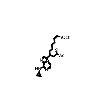 CCCCCCCC/C=C\CCCCC(CC(S)C(C)=O)c1cnc2c(NC3CC3)nccn12